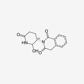 O=C1CC[C@H](N2C(=O)Cc3ccccc3C2=O)C(O)N1